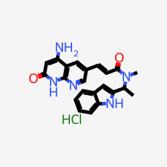 CC(c1cc2ccccc2[nH]1)N(C)C(=O)C=Cc1cnc2[nH]c(=O)cc(N)c2c1.Cl